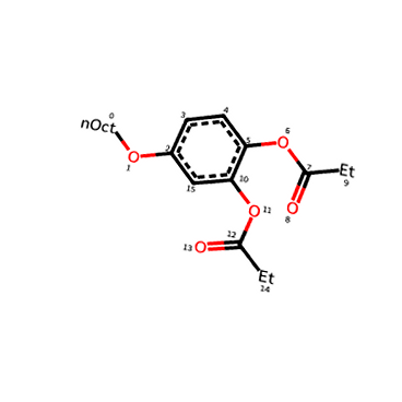 CCCCCCCCOc1ccc(OC(=O)CC)c(OC(=O)CC)c1